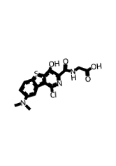 CN(C)c1ccc2sc3c(O)c(C(=O)NCC(=O)O)nc(Cl)c3c2c1